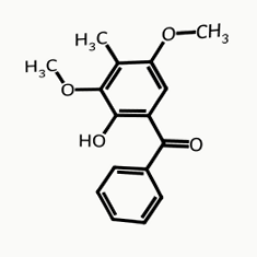 COc1cc(C(=O)c2ccccc2)c(O)c(OC)c1C